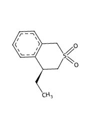 CC[C@@H]1CS(=O)(=O)Cc2ccccc21